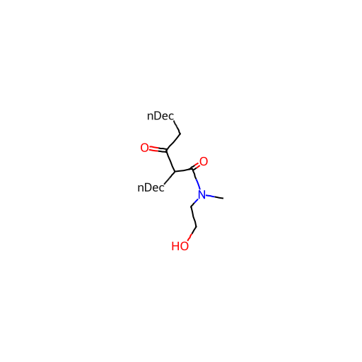 CCCCCCCCCCCC(=O)C(CCCCCCCCCC)C(=O)N(C)CCO